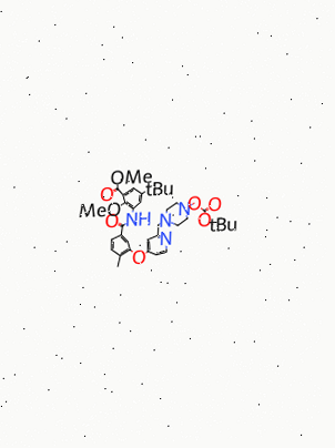 COC(=O)c1cc(C(C)(C)C)cc(NC(=O)c2ccc(C)c(Oc3ccnc(CN4CCN(OC(=O)OC(C)(C)C)CC4)c3)c2)c1OC